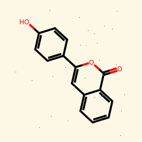 O=c1oc(-c2ccc(O)cc2)cc2ccccc12